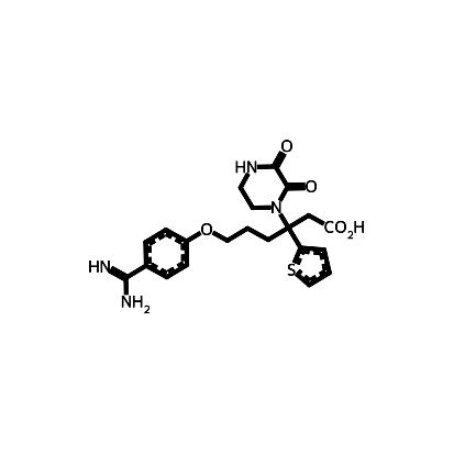 N=C(N)c1ccc(OCCCC(CC(=O)O)(c2cccs2)N2CCNC(=O)C2=O)cc1